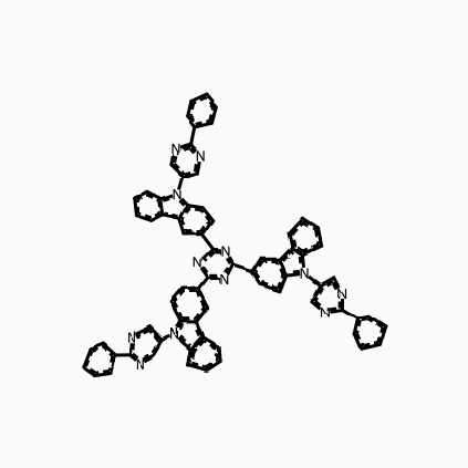 c1ccc(-c2ncc(-n3c4ccccc4c4cc(-c5nc(-c6ccc7c(c6)c6ccccc6n7-c6cnc(-c7ccccc7)nc6)nc(-c6ccc7c(c6)c6ccccc6n7-c6cnc(-c7ccccc7)nc6)n5)ccc43)cn2)cc1